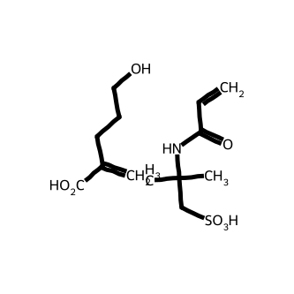 C=C(CCCO)C(=O)O.C=CC(=O)NC(C)(C)CS(=O)(=O)O